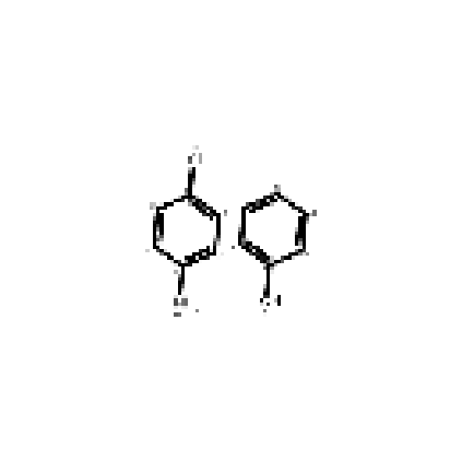 Nc1ccc(Cl)cc1.Oc1ccccc1